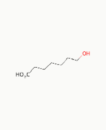 O=C(O)CCCCCCO